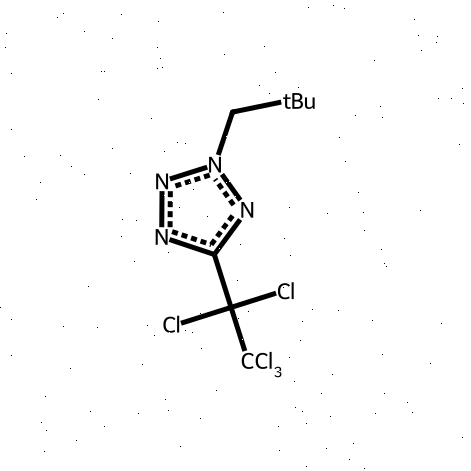 CC(C)(C)Cn1nnc(C(Cl)(Cl)C(Cl)(Cl)Cl)n1